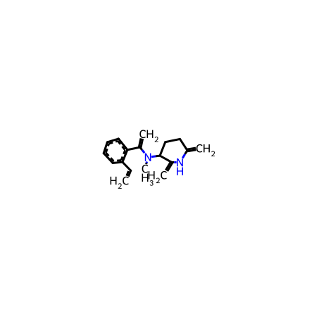 C=Cc1ccccc1C(=C)N(C)C1CCC(=C)NC1=C